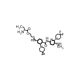 CC[C@H](N)C(=O)OCCSNc1ccc(C(=O)Nc2ccc(NC)c(N3CCC(F)(F)CC3)n2)c(N2CCC3(CC2)CC3)c1